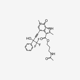 CC(=O)NCCCOC(=O)c1c(C)[nH]c2c(=O)n(C)cc(C#CC(O)(c3ccccc3)C(F)(F)F)c12